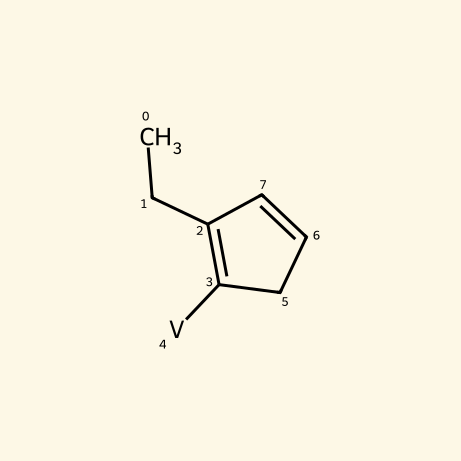 CCC1=[C]([V])CC=C1